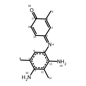 CC1=CC(=Nc2cc(C)c(N)c(C)c2N)C=CC1=O